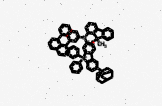 CC1(C)c2ccccc2-c2cccc(N(c3cccc(-c4cccc5cccc(-c6ccccc6)c45)c3)c3ccc4c(c3)[N+](c3ccccc3)(c3ccccc3)c3ccc(C56CC7CC(CC(C7)C5)C6)cc3-4)c21